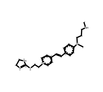 CNCCCN(C)c1ccc(/C=C/c2cc[n+](CCSC3=NCCN3)cc2)cc1